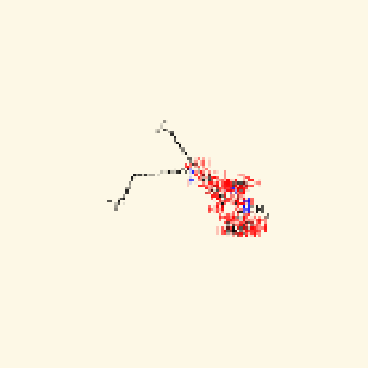 CCCCCCCC/C=C\CCCCCCCCCCCCCCCC(=O)N[C@@H](CO[C@@H]1OC(CO)[C@@H](O[C@@H]2OC(CO)[C@H](O[C@@H]3OC(CO)[C@H](O)[C@H](O[C@@H]4OC(CO[C@@H]5OC(CO)[C@@H](O[C@@H]6OC(CO)[C@H](O)[C@H](O)C6O)[C@H](O[C@H]6OC(C)[C@@H](O)C(O)[C@@H]6O)C5NC(C)=O)[C@H](O)[C@H](O[C@@H]5OC(CO)[C@H](O)[C@H](O)C5O)C4NC(C)=O)C3O)[C@H](O)C2O)[C@H](O)C1O)[C@H](O)/C=C/CCCCCCCCCCCCC